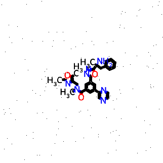 Cc1nc(CN(C)C(=O)c2cc(-c3cnccn3)cc(-c3nnc([C@](C)(N)Cc4ccccc4)o3)c2)c(C)o1